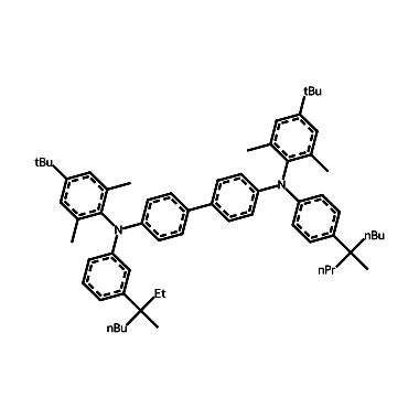 CCCCC(C)(CC)c1cccc(N(c2ccc(-c3ccc(N(c4ccc(C(C)(CCC)CCCC)cc4)c4c(C)cc(C(C)(C)C)cc4C)cc3)cc2)c2c(C)cc(C(C)(C)C)cc2C)c1